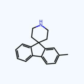 Cc1ccc2c(c1)C1(CCNCC1)c1ccccc1-2